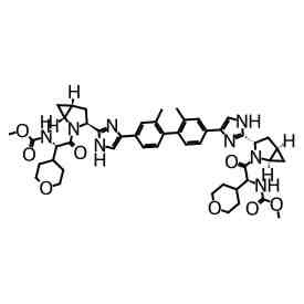 COC(=O)N[C@H](C(=O)N1[C@@H]2C[C@@H]2C[C@H]1c1nc(-c2ccc(-c3ccc(-c4c[nH]c([C@@H]5C[C@H]6C[C@H]6N5C(=O)[C@@H](NC(=O)OC)C5CCOCC5)n4)cc3C)c(C)c2)c[nH]1)C1CCOCC1